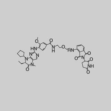 CC[C@@H]1C(=O)N(C)c2cnc(Nc3ccc(C(=O)NCCOCCNc4cccc5c4C(=O)N(C4CCC(=O)NC4=O)C5=O)cc3OC)nc2N1C1CCCC1